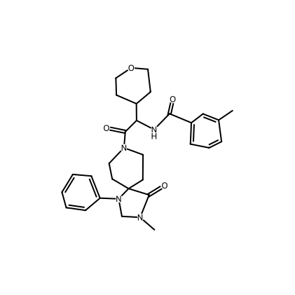 Cc1cccc(C(=O)NC(C(=O)N2CCC3(CC2)C(=O)N(C)CN3c2ccccc2)C2CCOCC2)c1